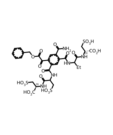 CCC(NC(=O)c1cc(C(=O)NC(CS(=O)(=O)O)C(=O)N[C@H](CS(=O)(=O)O)C(=O)O)c(C(=O)C(=O)OCc2ccccc2)cc1C(N)=O)C(=O)N[C@H](CS(=O)(=O)O)C(=O)O